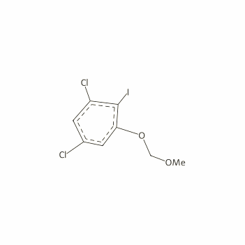 COCOc1cc(Cl)cc(Cl)c1I